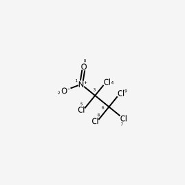 O=[N+]([O-])C(Cl)(Cl)C(Cl)(Cl)Cl